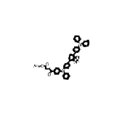 COC(=O)CCC(=O)c1ccc(N(c2ccccc2)c2ccc(-c3ccc(-c4ccc(N(c5ccccc5)c5ccccc5)cc4)c4nsnc34)cc2)cc1